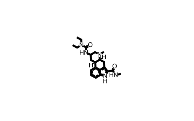 CCN(CC)C(=O)NC1C[C@@H]2c3cccc4[nH]c(C(=O)NC)c(c34)C[C@H]2N(C)C1